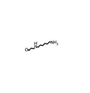 NCCCCCCNCCC=O